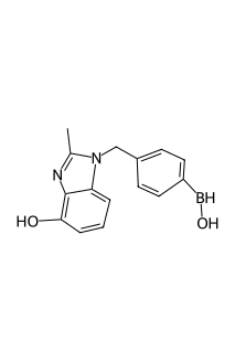 Cc1nc2c(O)cccc2n1Cc1ccc(BO)cc1